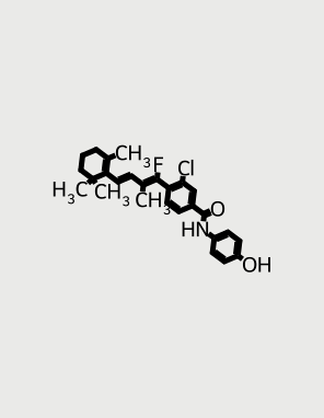 CC1=C(/C=C/C(C)=C(\F)c2ccc(C(=O)Nc3ccc(O)cc3)cc2Cl)C(C)(C)CCC1